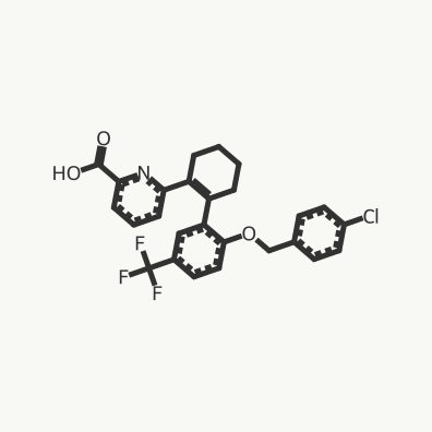 O=C(O)c1cccc(C2=C(c3cc(C(F)(F)F)ccc3OCc3ccc(Cl)cc3)CCCC2)n1